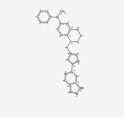 CN(c1ccccc1)c1ccc2c(c1)OCCC2Cn1cnc(-c2cc3[nH]nnc3cn2)c1